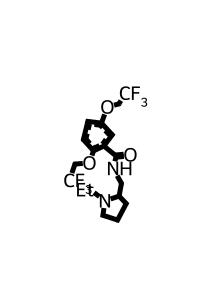 CCN1CCCC1CNC(=O)c1cc(OCC(F)(F)F)ccc1OCC(F)(F)F